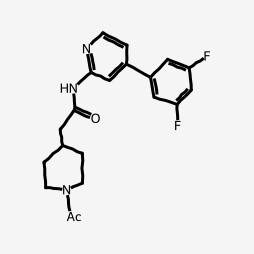 CC(=O)N1CCC(CC(=O)Nc2cc(-c3cc(F)cc(F)c3)ccn2)CC1